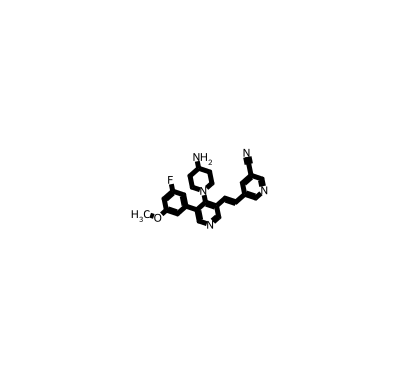 COc1cc(F)cc(-c2cncc(C=Cc3cncc(C#N)c3)c2N2CCC(N)CC2)c1